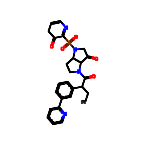 CC(C)CC(C(=O)N1CCC2C1C(=O)CN2S(=O)(=O)C1=NC=CCC1=O)c1cccc(-c2ccccn2)c1